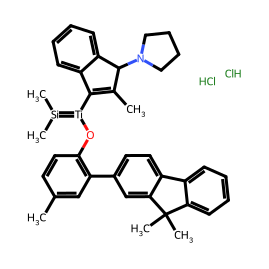 CC1=[C]([Ti]([O]c2ccc(C)cc2-c2ccc3c(c2)C(C)(C)c2ccccc2-3)=[Si](C)C)c2ccccc2C1N1CCCC1.Cl.Cl